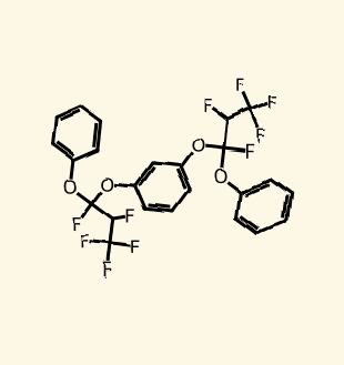 FC(C(F)(F)F)C(F)(Oc1ccccc1)Oc1cccc(OC(F)(Oc2ccccc2)C(F)C(F)(F)F)c1